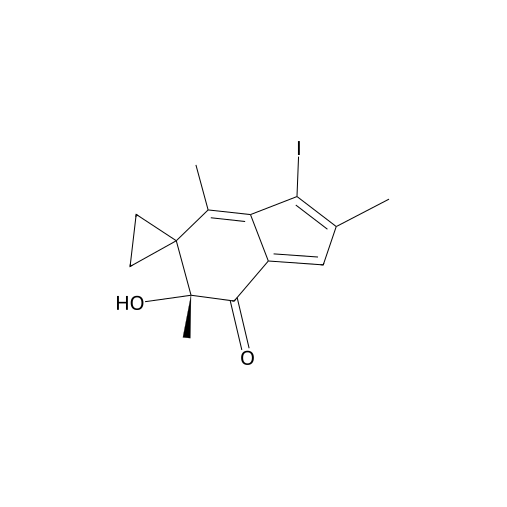 CC1=C(I)C2=C(C)C3(CC3)[C@@](C)(O)C(=O)C2=C1